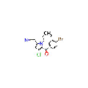 CCCn1c(CC#N)cc(Cl)c1C(=O)c1ccc(Br)cc1